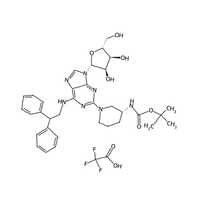 CC(C)(C)OC(=O)N[C@@H]1CCCN(c2nc(NCC(c3ccccc3)c3ccccc3)c3ncn([C@@H]4O[C@H](CO)[C@@H](O)[C@H]4O)c3n2)C1.O=C(O)C(F)(F)F